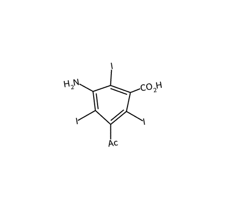 CC(=O)c1c(I)c(N)c(I)c(C(=O)O)c1I